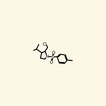 Cc1ccc(S(=O)(=O)N2CCC(C(C)C)C2CCl)cc1